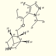 C/C=C(/OC[C@@H]1[C@@H]2CNC[C@H]1C2)c1c(F)cnn1C(C)C